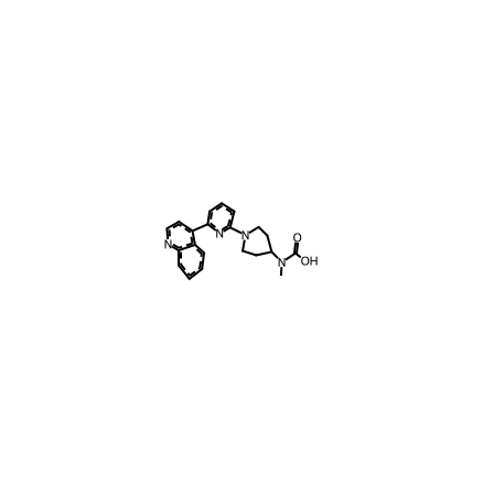 CN(C(=O)O)C1CCN(c2cccc(-c3ccnc4ccccc34)n2)CC1